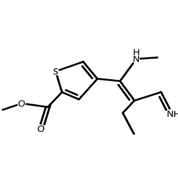 CC/C(C=N)=C(/NC)c1csc(C(=O)OC)c1